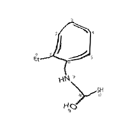 CCc1ccccc1NC(O)S